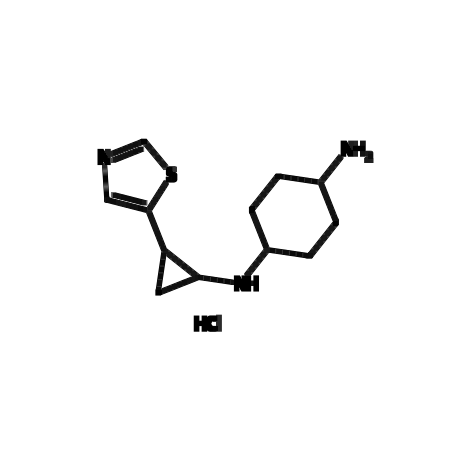 Cl.NC1CCC(NC2CC2c2cncs2)CC1